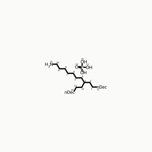 CCCCCCCCCCCCC(CCCCCCCN)CCCCCCCCCCCC.O=P(O)(O)O